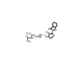 CC(=O)N[C@@H](C)CO[C@H]1C[C@H](COc2ncnc(-n3oc4ccccc4c3=O)c2Cl)C1